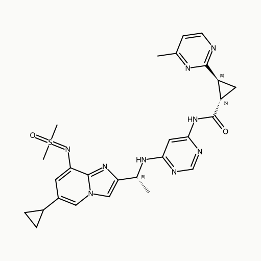 Cc1ccnc([C@H]2C[C@@H]2C(=O)Nc2cc(N[C@H](C)c3cn4cc(C5CC5)cc(N=S(C)(C)=O)c4n3)ncn2)n1